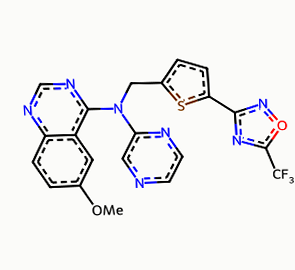 COc1ccc2ncnc(N(Cc3ccc(-c4noc(C(F)(F)F)n4)s3)c3cnccn3)c2c1